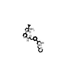 N=C/C(=C\NCC1CCCCO1)c1cccc(CC(=O)Nc2cc(N3CC[C@@](N)(C4CC4)C3=O)ccn2)c1